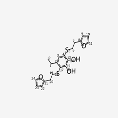 CCc1cc(SCCc2ccco2)c(O)c(O)c1SCCc1ccco1